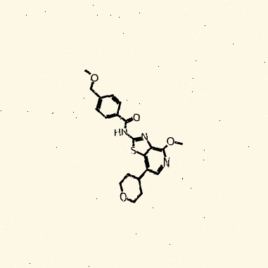 COCc1ccc(C(=O)Nc2nc3c(OC)ncc(C4CCOCC4)c3s2)cc1